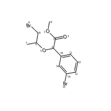 COC(=O)C(OC(C)CBr)c1cccc(Br)c1